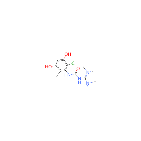 Cc1c(O)cc(O)c(Cl)c1NC(=O)NC(N(C)C)=[N+](C)C